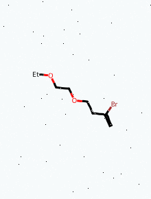 C=C(Br)CCOCCOCC